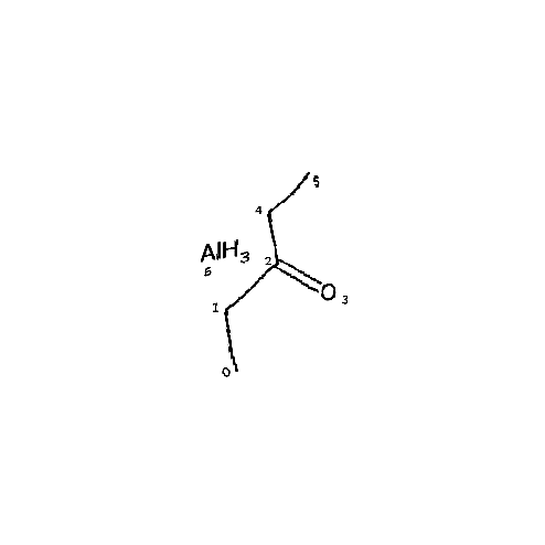 CCC(=O)CC.[AlH3]